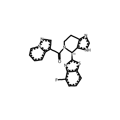 O=C(c1cnn2ccccc12)N1CCc2nc[nH]c2[C@H]1c1nc2c(F)cccc2s1